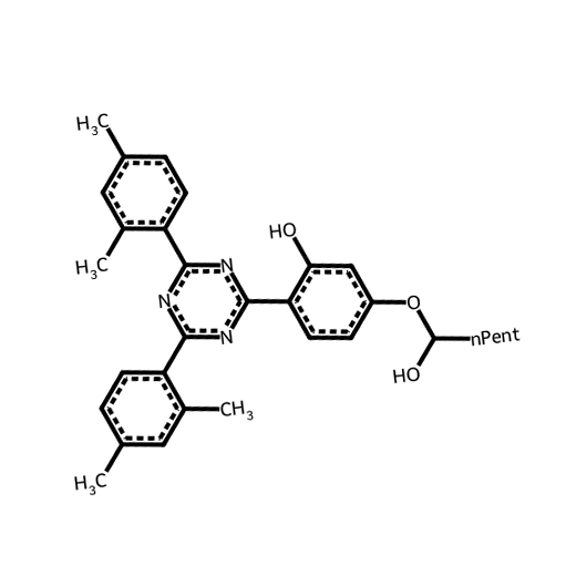 CCCCCC(O)Oc1ccc(-c2nc(-c3ccc(C)cc3C)nc(-c3ccc(C)cc3C)n2)c(O)c1